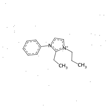 CCC[n+]1ccn(-c2ccccc2)c1CC